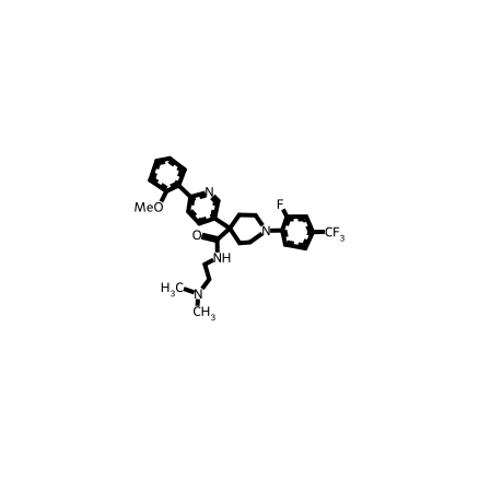 COc1ccccc1-c1ccc(C2(C(=O)NCCN(C)C)CCN(c3ccc(C(F)(F)F)cc3F)CC2)cn1